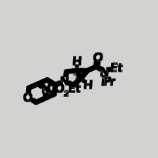 CCOC(=O)N1C2COCC1CC(N1C[C@@H]3C(C(=O)N(CC)C(C)C)[C@@H]3C1)C2